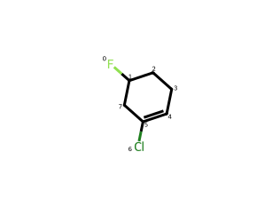 FC1CCC=C(Cl)C1